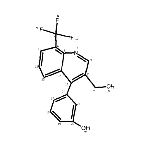 OCc1cnc2c(C(F)(F)F)cccc2c1-c1cccc(O)c1